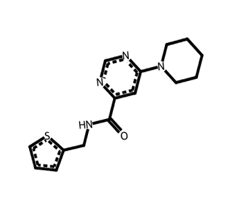 O=C(NCc1cccs1)c1cc(N2CCCCC2)ncn1